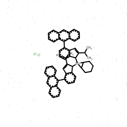 CC(C)C1=Cc2c(-c3c4ccccc4cc4ccccc34)cccc2[CH]1[Zr+2]1([CH]2C(C(C)C)=Cc3c(-c4c5ccccc5cc5ccccc45)cccc32)[CH]2CCCC[CH]21.[Cl-].[Cl-]